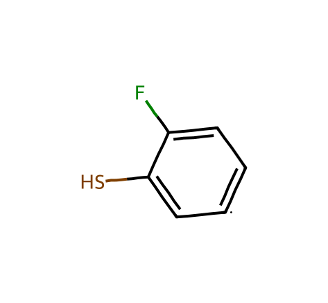 Fc1cc[c]cc1S